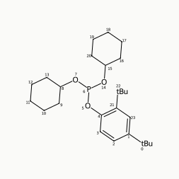 CC(C)(C)c1ccc(OP(OC2CCCCC2)OC2CCCCC2)c(C(C)(C)C)c1